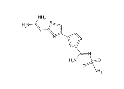 NC(N)=Nc1nc(-c2csc(C(N)=NS(N)(=O)=O)n2)cs1